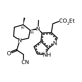 CCOC(=O)Cc1cnc2[nH]ccc2c1N(C)[C@H]1CN(C(=O)CC#N)CC[C@H]1C